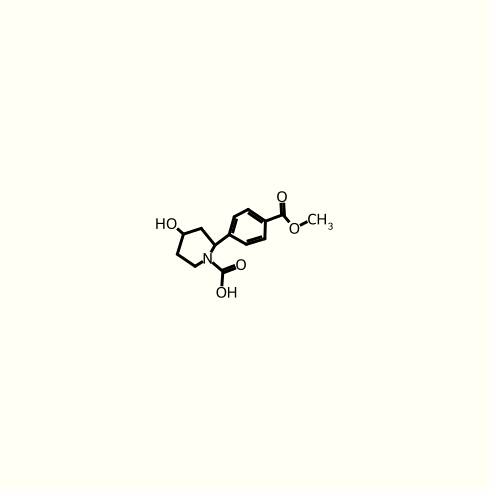 COC(=O)c1ccc(C2CC(O)CCN2C(=O)O)cc1